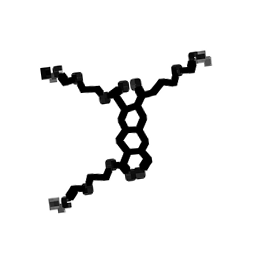 C=COCCCC(=O)C1CC2CC(C=O)C(C(=O)OCCOC=C)CC2CC1C(=O)OCCOC=C